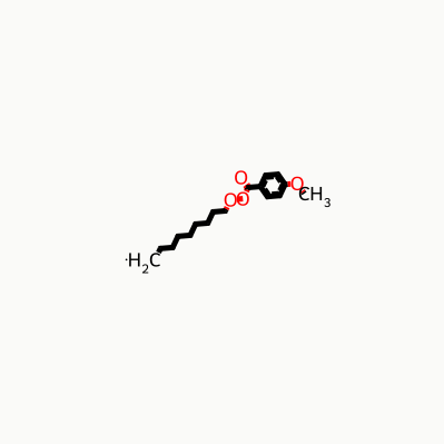 [CH2]CCCCCCCCOOC(=O)c1ccc(OC)cc1